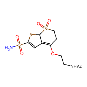 CC(=O)NCCOC1=C2C=C(S(N)(=O)=O)SC2S(=O)(=O)CC1